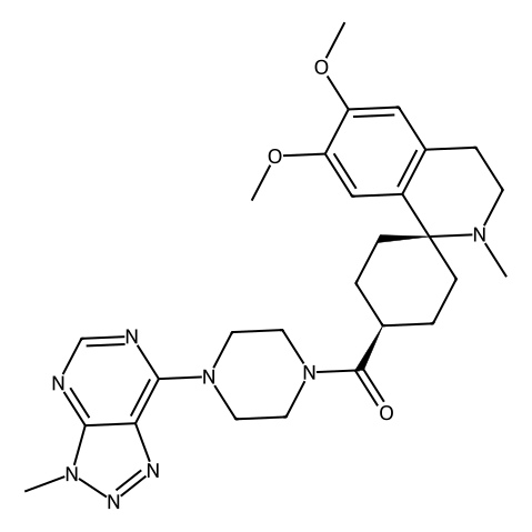 COc1cc2c(cc1OC)[C@]1(CC[C@H](C(=O)N3CCN(c4ncnc5c4nnn5C)CC3)CC1)N(C)CC2